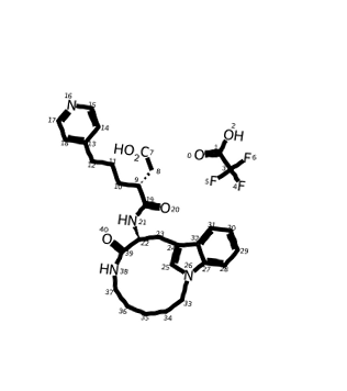 O=C(O)C(F)(F)F.O=C(O)C[C@@H](CCCc1ccncc1)C(=O)N[C@H]1Cc2cn(c3ccccc23)CCCCCNC1=O